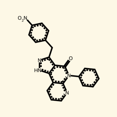 O=c1c2c(Cc3ccc([N+](=O)[O-])cc3)n[nH]c2c2cccnc2n1-c1ccccc1